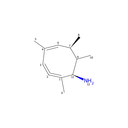 CC1=C=C/C(C)=C\[C@@H](C)C(C)[C@H]1N